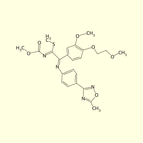 COCCOc1ccc(C(=N\c2ccc(-c3noc(C)n3)cc2)/C(=N/C(=O)OC)SC)cc1OC